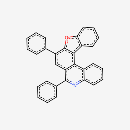 c1ccc(-c2nc3ccccc3c3c2cc(-c2ccccc2)c2oc4ccccc4c23)cc1